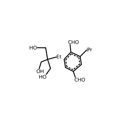 CC(C)c1cc(C=O)ccc1C=O.CCC(CO)(CO)CO